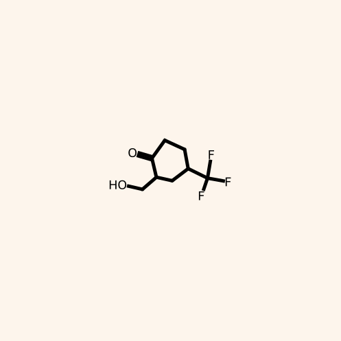 O=C1CCC(C(F)(F)F)CC1CO